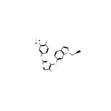 C#CCn1ccc2ccc(Nc3nc(Nc4ccc(CC)c(S(N)(=O)=O)c4)ncc3F)cc21